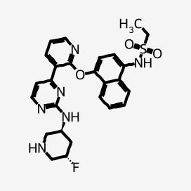 CCS(=O)(=O)Nc1ccc(Oc2ncccc2-c2ccnc(N[C@@H]3CNC[C@@H](F)C3)n2)c2ccccc12